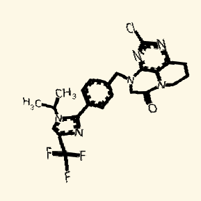 CC(C)n1cc(C(F)(F)F)nc1-c1ccc(CN2CC(=O)N3CCCc4nc(Cl)nc2c43)cc1